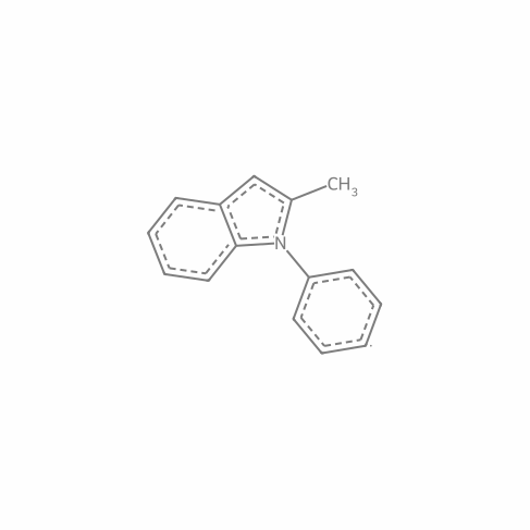 Cc1cc2ccccc2n1-c1cc[c]cc1